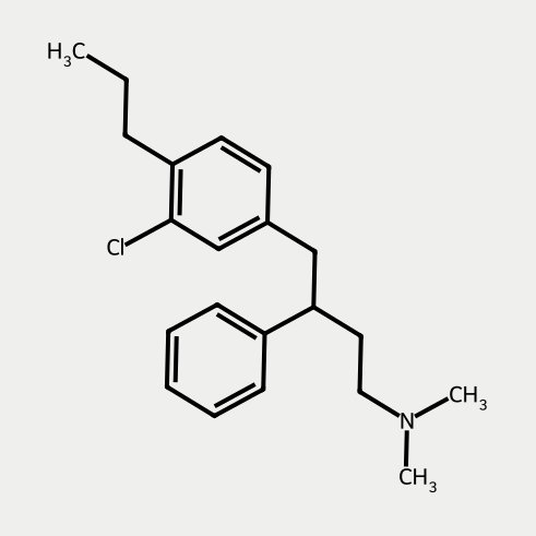 CCCc1ccc(CC(CCN(C)C)c2ccccc2)cc1Cl